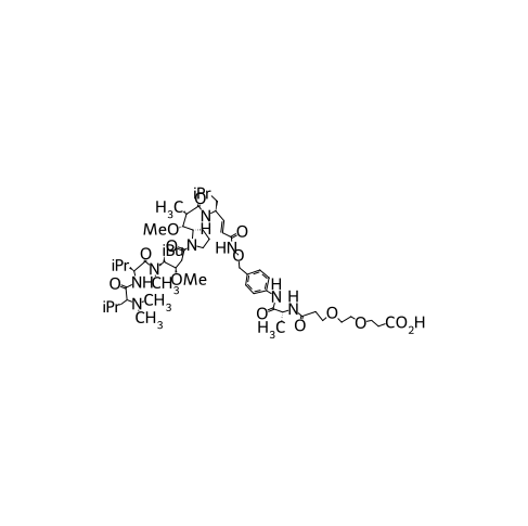 CC[C@H](C)[C@@H]([C@@H](CC(=O)N1CCC[C@H]1[C@H](OC)[C@@H](C)C(=O)N[C@H](/C=C/C(=O)NOCc1ccc(NC(=O)[C@@H](C)NC(=O)CCOCCOCCC(=O)O)cc1)CC(C)C)OC)N(C)C(=O)[C@@H](NC(=O)C(C(C)C)N(C)C)C(C)C